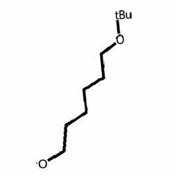 CC(C)(C)OCCCCCC[O]